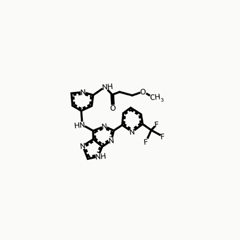 COCCC(=O)Nc1cc(Nc2nc(-c3cccc(C(F)(F)F)n3)nc3[nH]cnc23)ccn1